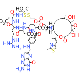 C/C(=C\c1csc(C)n1)[C@@H]1C[C@H]2[C@@H](CCCC(C)[C@H](O)C(C)C(=O)C(C)(C)C(O)CC(=O)O1)N2CCOC(=O)OCCSSCC(NC(=O)[C@H](CC(=O)O)NC(=O)C(CCCNC(=N)N)NC(=O)[C@H](CC(=O)O)NC(=O)CC[C@H](NC(=O)c1ccc(NCc2cnc3nc(N)[nH]c(=O)c3n2)cc1)C(=O)O)C(=O)O